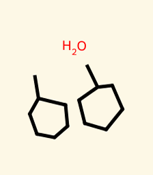 CC1CCCCC1.CC1CCCCC1.O